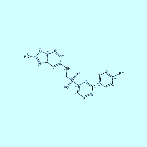 Cc1nc2cc(NCS(=O)(=O)c3cccc(-c4ccc(F)cc4)c3)ccc2o1